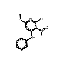 CSc1nc(Cl)c([N+](=O)[O-])c(Nc2ccccc2)n1